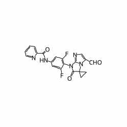 O=Cc1cnc2n1C1(CC1)C(=O)N2c1c(F)cc(NC(=O)c2ccccn2)cc1F